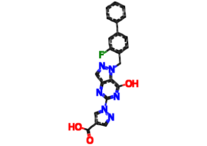 O=C(O)c1cnn(-c2nc(O)c3c(cnn3Cc3ccc(-c4ccccc4)cc3F)n2)c1